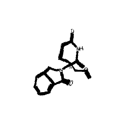 C=CC[C@@]1(N2Cc3ccccc3C2=O)CCC(=O)NC1=O